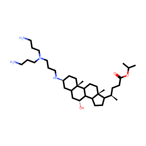 CC(C)OC(=O)CC[C@@H](C)C1CCC2C3C(CC[C@@]21C)[C@@]1(C)CC[C@H](NCCCN(CCCN)CCCN)CC1C[C@H]3O